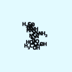 C[C@@]1(O)[C@H](O)[C@@H](CO)O[C@H]1n1cnc2c(NNS(C)(=O)=O)nc(N)nc21